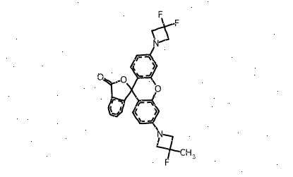 CC1(F)CN(c2ccc3c(c2)Oc2cc(N4CC(F)(F)C4)ccc2C32OC(=O)c3ccccc32)C1